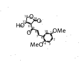 COc1ccc(OC)c(C=CC(=O)C2=C(O)COC2=O)c1